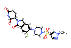 Cn1cc(S(=O)(=O)N2CCN(c3cc4c(cc3F)C(=O)N(C3CCC(=O)NC3=O)C4)CC2)cn1